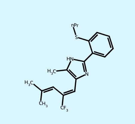 CCCSc1ccccc1-c1nc(/C=C(\C=C(C)C)C(F)(F)F)c(C)[nH]1